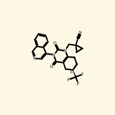 N#CC1(Cn2c3c(c(=O)n(-c4cncc5ccccc45)c2=O)C[C@H](C(F)(F)F)CC3)CC1